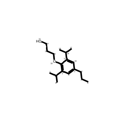 CCCc1cc(C(C)C)c(OCCCO)c(C(C)C)c1